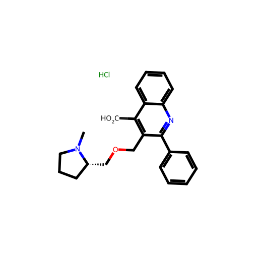 CN1CCC[C@H]1COCc1c(-c2ccccc2)nc2ccccc2c1C(=O)O.Cl